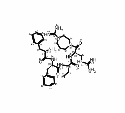 CC(C)C[C@@H](NC(=O)[C@@H](Cc1ccccc1)NC(=O)[C@H](N)Cc1ccccc1)C(=O)N[C@H](CNC(=N)N)C(=O)N1CCCN(C(=N)N)CC1